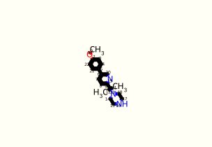 COc1ccc(-c2ccc(C(C)(C)N3CCNCC3)nc2)cc1